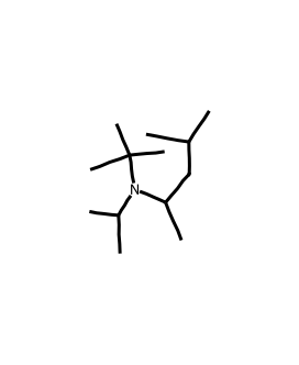 CC(C)CC(C)N(C(C)C)C(C)(C)C